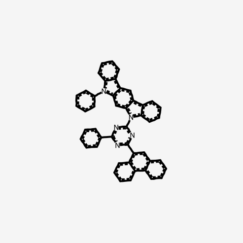 c1ccc(-c2nc(-c3cc4ccccc4c4ccccc34)nc(-n3c4ccccc4c4cc5c6ccccc6n(-c6ccccc6)c5cc43)n2)cc1